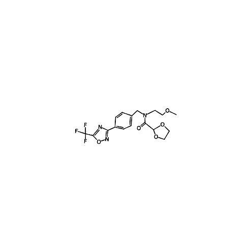 COCCN(Cc1ccc(-c2noc(C(F)(F)F)n2)cc1)C(=O)C1OCCO1